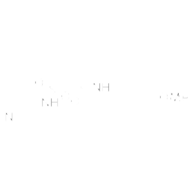 COc1ccc(CNC(=O)c2ccccc2S(=O)(=O)Nc2cccnc2)cc1